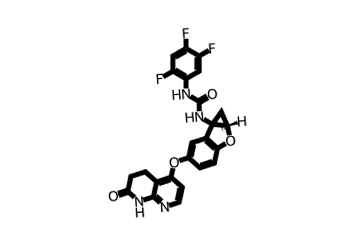 O=C1CCc2c(Oc3ccc4c(c3)C3(NC(=O)Nc5cc(F)c(F)cc5F)C[C@@H]3O4)ccnc2N1